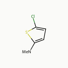 CNc1ccc(Cl)s1